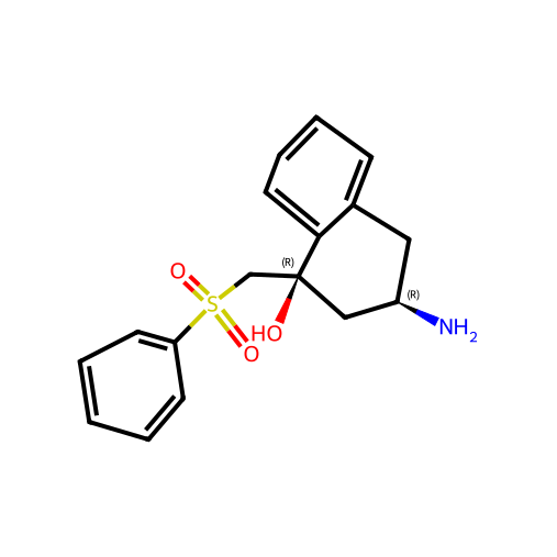 N[C@@H]1Cc2ccccc2[C@@](O)(CS(=O)(=O)c2ccccc2)C1